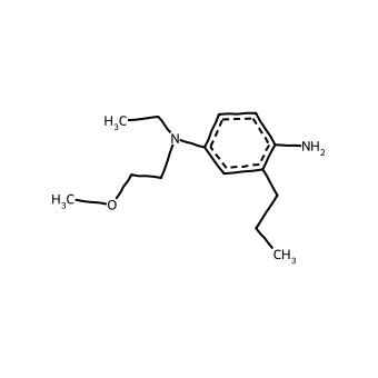 CCCc1cc(N(CC)CCOC)ccc1N